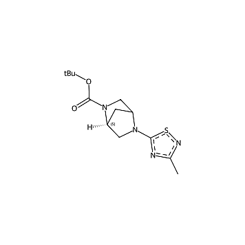 Cc1nsc(N2C[C@@H]3CC2CN3C(=O)OC(C)(C)C)n1